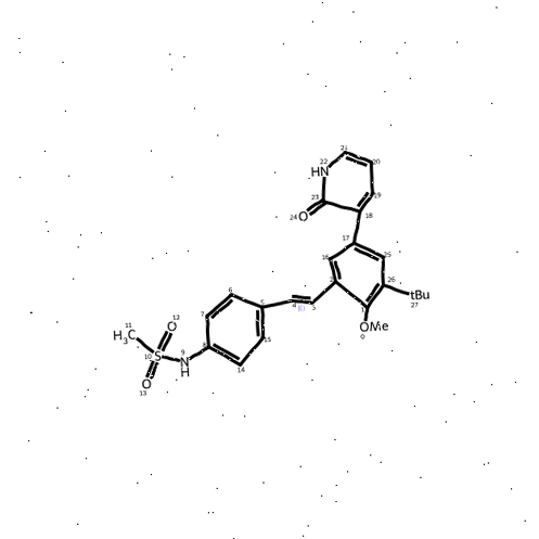 COc1c(/C=C/c2ccc(NS(C)(=O)=O)cc2)cc(-c2ccc[nH]c2=O)cc1C(C)(C)C